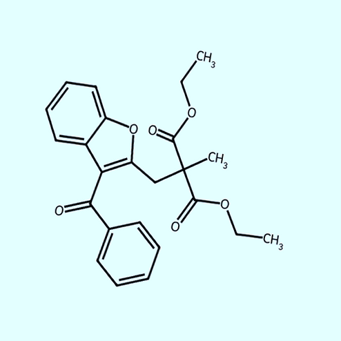 CCOC(=O)C(C)(Cc1oc2ccccc2c1C(=O)c1ccccc1)C(=O)OCC